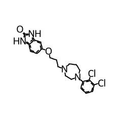 O=c1[nH]c2ccc(OCCCN3CCCN(c4cccc(Cl)c4Cl)CC3)cc2[nH]1